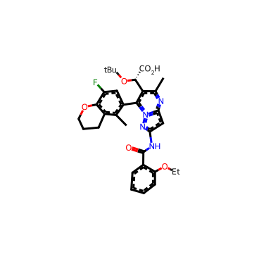 CCOc1ccccc1C(=O)Nc1cc2nc(C)c([C@H](OC(C)(C)C)C(=O)O)c(-c3cc(F)c4c(c3C)CCCO4)n2n1